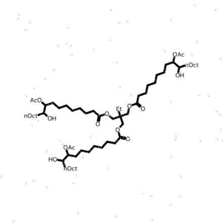 CCCCCCCCC(O)C(CCCCCCCC(=O)OCC(CC)(COC(=O)CCCCCCCC(OC(C)=O)C(O)CCCCCCCC)COC(=O)CCCCCCCC(OC(C)=O)C(O)CCCCCCCC)OC(C)=O